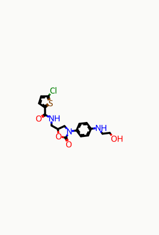 O=C(NCC1CN(c2ccc(NCCO)cc2)C(=O)O1)c1ccc(Cl)s1